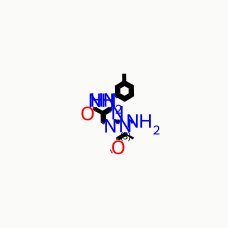 COC[C@H](C)N(N)c1ncc(C(N)=O)c(Nc2cccc(C)c2)n1